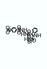 O=C(NBr)c1[nH]c2ccccc2c1S(=O)(=O)NCCNS(=O)(=O)c1ccc([N+](=O)[O-])cc1